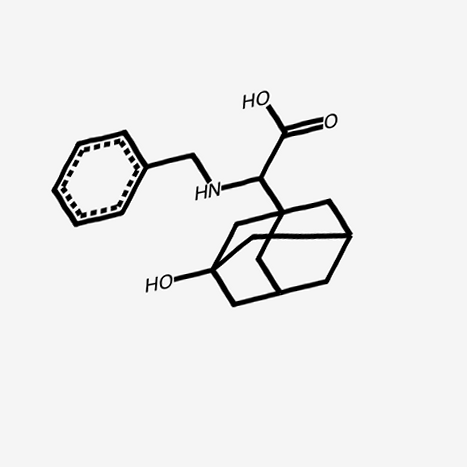 O=C(O)C(NCc1ccccc1)C12CC3CC(CC(O)(C3)C1)C2